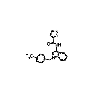 O=C(Nc1cn(Cc2ccc(C(F)(F)F)cc2)c2ccccc12)c1ccsn1